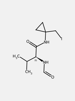 CC(C)[C@H](NC=O)C(=O)NC1(CI)CC1